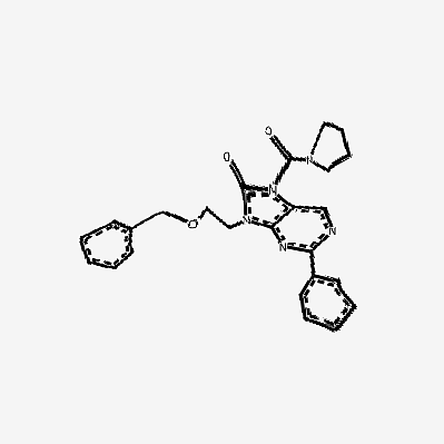 O=C(N1CCCC1)n1c(=O)n(CCOCc2ccccc2)c2nc(-c3ccccc3)ncc21